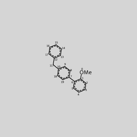 COc1ccccc1-c1ccc([CH]c2ccccc2)cc1